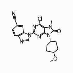 CO[C@H]1CC[C@H](n2c(=O)n(C)c3c(Cl)nc(-n4cnc5ccc(C#N)cc54)nc32)CC1